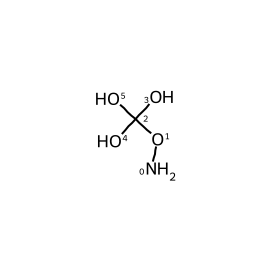 NOC(O)(O)O